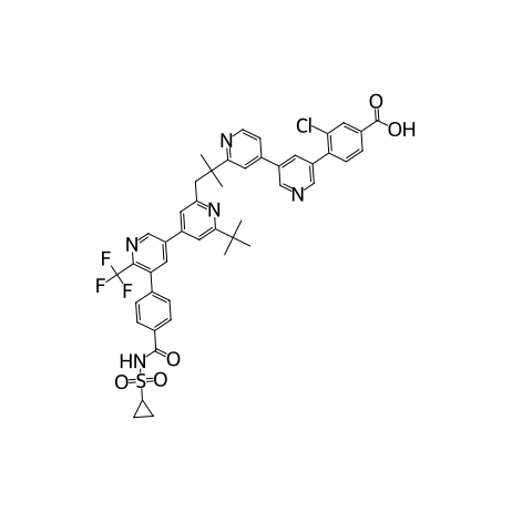 CC(C)(C)c1cc(-c2cnc(C(F)(F)F)c(-c3ccc(C(=O)NS(=O)(=O)C4CC4)cc3)c2)cc(CC(C)(C)c2cc(-c3cncc(-c4ccc(C(=O)O)cc4Cl)c3)ccn2)n1